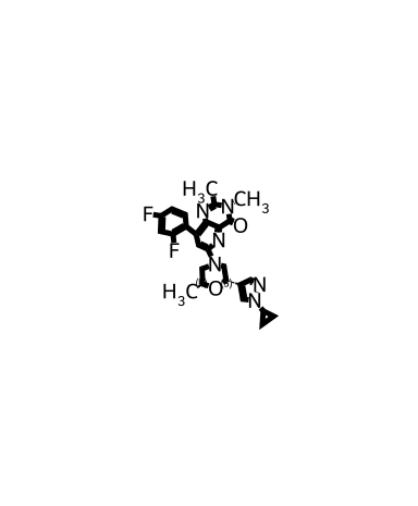 Cc1nc2c(-c3ccc(F)cc3F)cc(N3C[C@@H](C)O[C@@H](c4cnn(C5CC5)c4)C3)nc2c(=O)n1C